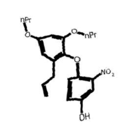 C=CCc1cc(OCCC)cc(OCCC)c1Oc1ccc(O)cc1[N+](=O)[O-]